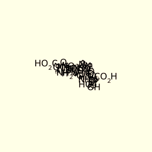 C[C@H](N)C(=O)N[C@@H](CCC(=O)O)C(=O)N[C@@H](C)C(=O)N1CCC[C@H]1C(=O)N1CCC[C@H]1C(=O)N[C@@H](C)C(=O)N1CCC[C@H]1C(=O)N1CCC[C@H]1C(=O)N[C@@H](CCC(N)=O)C(=O)N[C@@H](COP(=O)(O)O)C(=O)N1CCC[C@H]1C(=O)O